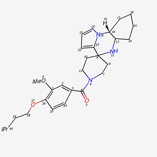 COc1cc(C(=O)N2CCC3(CC2)NC2CCCC[C@H]2n2cccc23)ccc1OCCC(C)C